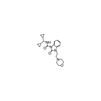 O=C(NC(C1CC1)C1CC1)n1c(=O)n(CCN2CCOCC2)c2ccccc21